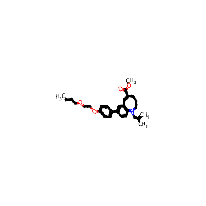 C=C(C)CN1CCCC(C(=O)OC)=Cc2cc(-c3ccc(OCCOCCCC)cc3)ccc21